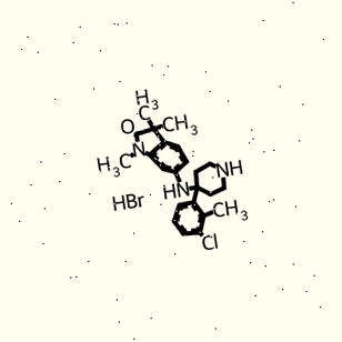 Br.Cc1c(Cl)cccc1C1(Nc2ccc3c(c2)N(C)C(=O)C3(C)C)CCNCC1